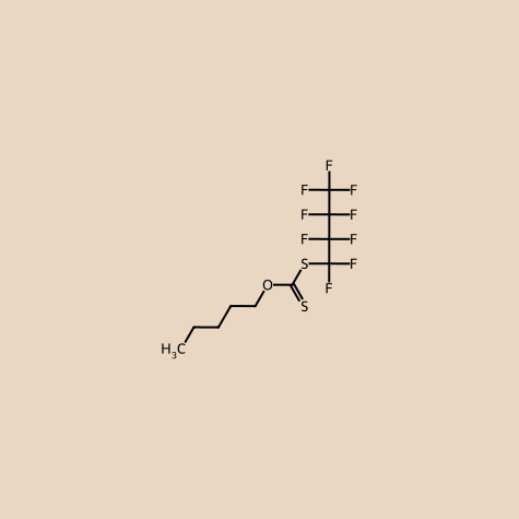 CCCCCOC(=S)SC(F)(F)C(F)(F)C(F)(F)C(F)(F)F